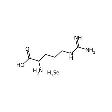 N=C(N)NCCCC(N)C(=O)O.[SeH2]